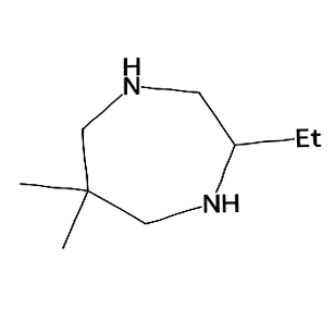 CCC1CNCC(C)(C)CN1